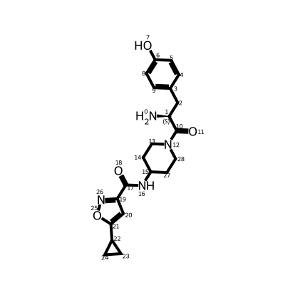 N[C@@H](Cc1ccc(O)cc1)C(=O)N1CCC(NC(=O)c2cc(C3CC3)on2)CC1